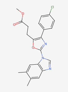 COC(=O)CCc1oc(-n2cnc3cc(C)c(C)cc32)nc1-c1ccc(Cl)cc1